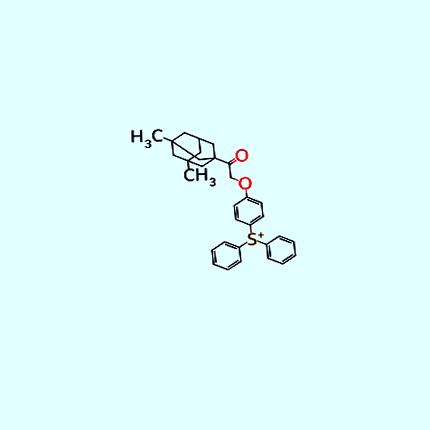 CC12CC3CC(C)(C1)CC(C(=O)COc1ccc([S+](c4ccccc4)c4ccccc4)cc1)(C3)C2